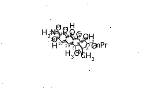 CCCOCc1cc(N(C)C)c2c(c1O)C(=O)C1=C(O)C3C(=O)C(C(N)=O)=C(O)CC3CC1C2